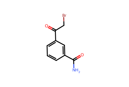 NC(=O)c1cccc(C(=O)CBr)c1